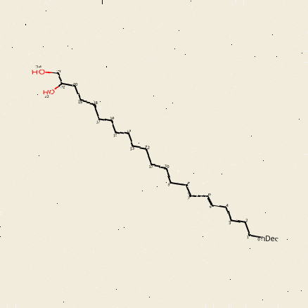 CCCCCCCCCCCCCCCCCCCCCCCCCCCCCCC(O)CO